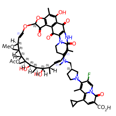 CO[C@H]1/C=C/O[C@@]2(C)Oc3c(C)c(O)c4c(c3C2=O)C(=O)C(N2CCC(N(C)C[C@@H]3CCN(c5c(F)cn6c(=O)c(C(=O)O)cc(C7CC7)c6c5C)C3)CC2)=C(NC(=O)/C(C)=C\C=C\[C@H](C)[C@H](O)[C@@H](C)[C@@H](O)[C@@H](C)[C@H](OC(C)=O)[C@@H]1C)C4=O